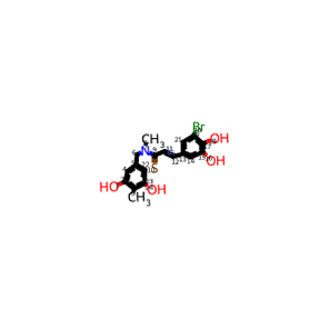 Cc1c(O)cc(CN(C)C(=S)/C=C/c2cc(O)c(O)c(Br)c2)cc1O